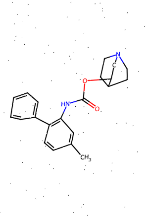 Cc1ccc(-c2ccccc2)c(NC(=O)OC2CN3CCC2CC3)c1